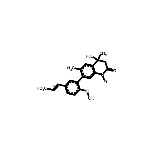 CCN1C(=O)CC(C)(C)c2cc(C)c(-c3cc(/C=C/C(=O)O)ccc3OC(F)(F)F)cc21